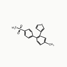 Cc1[c]cc(-c2ccc(S(C)(=O)=O)cc2)c(-c2ccsc2)c1